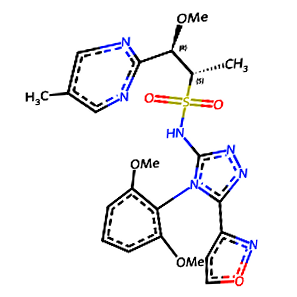 COc1cccc(OC)c1-n1c(NS(=O)(=O)[C@@H](C)[C@H](OC)c2ncc(C)cn2)nnc1-c1ccon1